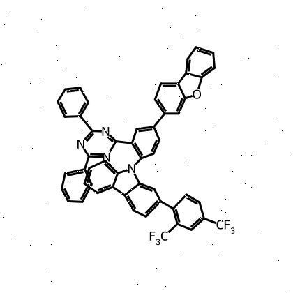 FC(F)(F)c1ccc(-c2ccc3c4ccccc4n(-c4ccc(-c5ccc6c(c5)oc5ccccc56)cc4-c4nc(-c5ccccc5)nc(-c5ccccc5)n4)c3c2)c(C(F)(F)F)c1